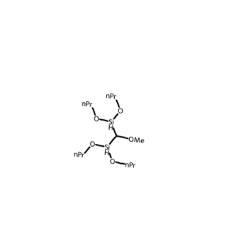 CCCO[SiH](OCCC)[C](OC)[SiH](OCCC)OCCC